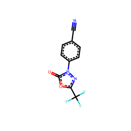 N#Cc1ccc(-n2nc(C(F)(F)F)oc2=O)cc1